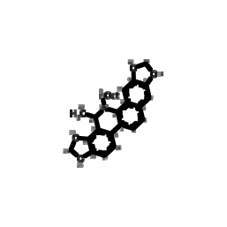 CCCCCCCCN1c2c(ccc3cc4c(cc23)OCO4)-c2ccc3c(c2C1C)OCO3